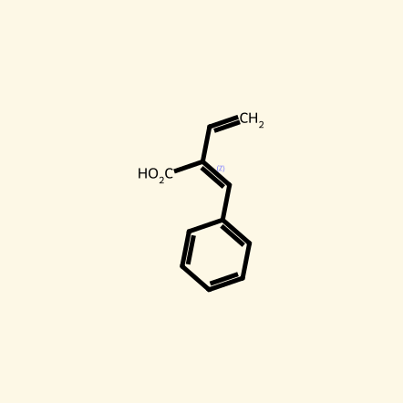 C=C/C(=C/c1ccccc1)C(=O)O